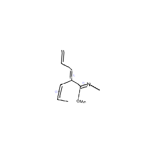 C=C/C=C(\C=C/C)C(=N/C)/OC